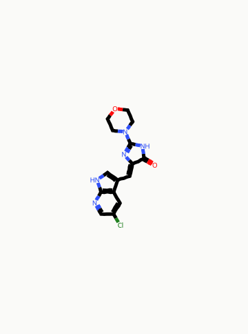 O=C1NC(N2CCOCC2)=NC1=Cc1c[nH]c2ncc(Cl)cc12